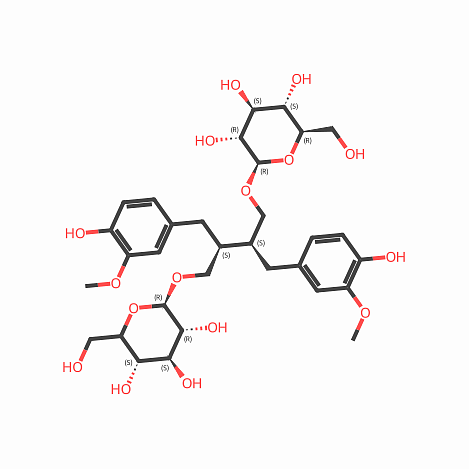 COc1cc(C[C@H](CO[C@@H]2O[C@H](CO)[C@@H](O)[C@H](O)[C@H]2O)[C@@H](CO[C@@H]2OC(CO)[C@@H](O)[C@H](O)[C@H]2O)Cc2ccc(O)c(OC)c2)ccc1O